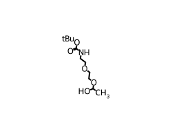 CC(O)OCCOCCNC(=O)OC(C)(C)C